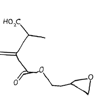 C=C(C(=O)OCC1CO1)C(C)C(=O)O